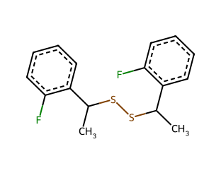 CC(SSC(C)c1ccccc1F)c1ccccc1F